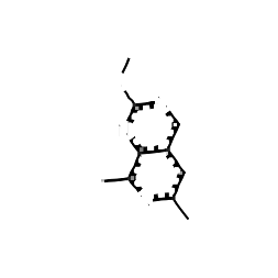 CSc1ncc2cc(C)nc(Cl)c2n1